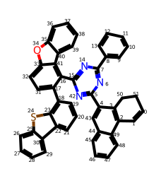 C1=Cc2c(c(-c3nc(-c4ccccc4)nc(-c4c(-c5cccc6c5sc5ccccc56)ccc5oc6ccccc6c45)n3)cc3ccccc23)CC1